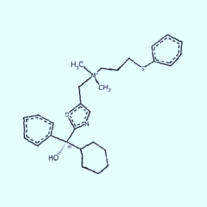 C[N+](C)(CCCSc1ccccc1)Cc1cnc([C@](O)(c2ccccc2)C2CCCCC2)o1